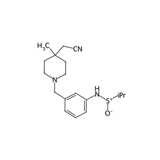 CC(C)[S+]([O-])Nc1cccc(CN2CCC(C)(CC#N)CC2)c1